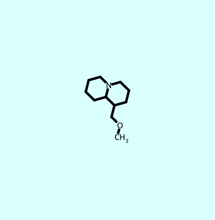 COCC1CCCN2CCCCC12